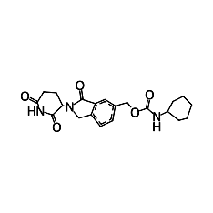 O=C1CCC(N2Cc3ccc(COC(=O)NC4CCCCC4)cc3C2=O)C(=O)N1